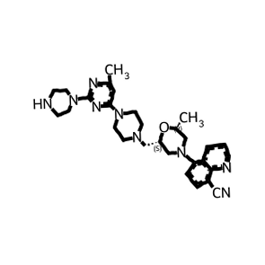 Cc1cc(N2CCN(C[C@H]3CN(c4ccc(C#N)c5ncccc45)C[C@@H](C)O3)CC2)nc(N2CCNCC2)n1